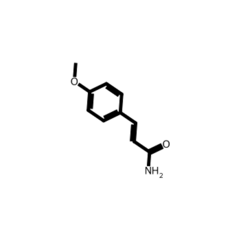 COc1ccc(/C=C/C(N)=O)cc1